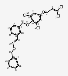 ClC(Cl)=CCOc1cc(Cl)c(OCc2cccc(/C=N/OCc3ccccc3)c2)c(Cl)c1